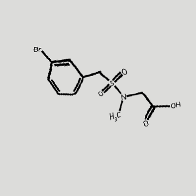 CN(CC(=O)O)S(=O)(=O)Cc1cccc(Br)c1